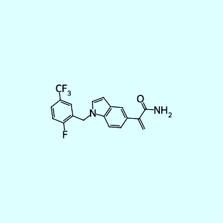 C=C(C(N)=O)c1ccc2c(ccn2Cc2cc(C(F)(F)F)ccc2F)c1